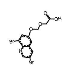 O=C(O)COCOc1cc(Br)c2ncc(Br)cc2c1